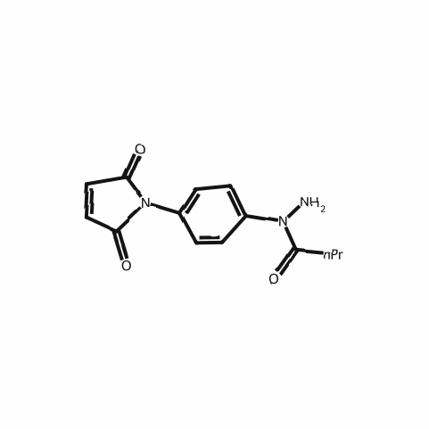 CCCC(=O)N(N)c1ccc(N2C(=O)C=CC2=O)cc1